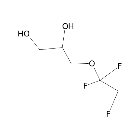 OCC(O)COC(F)(F)CF